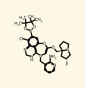 CC1(C)OB(c2cc3c4c(c2Cl)=NCNC=4N(Cc2cccnc2N)C=C(OC[C@@]24CCCN2C[C@H](F)C4)O3)OC1(C)C